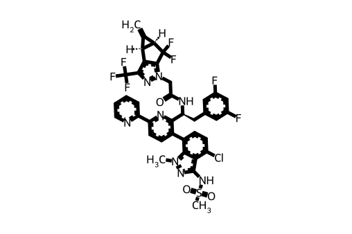 C=C1[C@@H]2c3c(C(F)(F)F)nn(CC(=O)N[C@@H](Cc4cc(F)cc(F)c4)c4nc(-c5ccccn5)ccc4-c4ccc(Cl)c5c(NS(C)(=O)=O)nn(C)c45)c3C(F)(F)[C@H]12